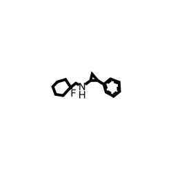 FC1(CNC2CC2c2ccccc2)CCCCC1